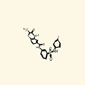 CC1Sc2ccc(C(=O)Nc3cccc(S(=O)(=O)Nc4ccc(F)cc4)c3)cc2NC1=O